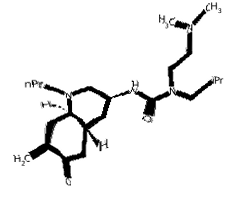 C=C1C[C@@H]2[C@@H](CC1=O)C[C@H](NC(=O)N(CCN(C)C)CC(C)C)CN2CCC